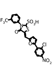 O=C1C(=Cc2ccc(-c3ccc([N+](=O)[O-])cc3Cl)o2)SC(S(=O)(=O)O)N1c1cccc(C(F)(F)F)c1